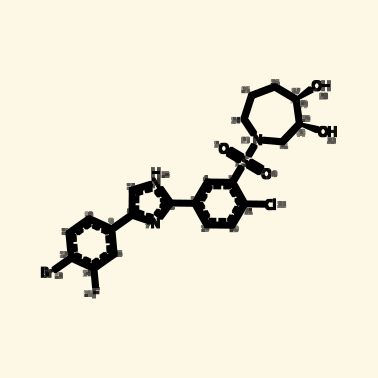 O=S(=O)(c1cc(-c2nc(-c3ccc(Br)c(F)c3)c[nH]2)ccc1Cl)N1CCC[C@@H](O)[C@@H](O)C1